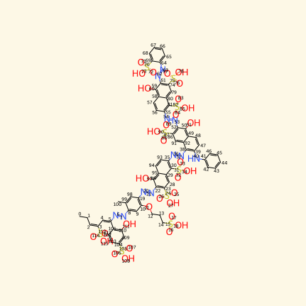 CC/C=C(\C=C(\N=Nc1cc(OCCCS(=O)(=O)O)c(N=Nc2c(S(=O)(=O)O)cc3c(S(=O)(=O)O)c(N=Nc4c(Nc5ccccc5)ccc5c(O)c(N=Nc6ccc7c(O)c(N=Nc8ccccc8S(=O)(=O)O)c(S(=O)(=O)O)cc7c6S(=O)(=O)O)c(S(=O)(=O)O)cc45)ccc3c2O)cc1C)c1ccc(S(=O)(=O)O)cc1O)S(=O)(=O)O